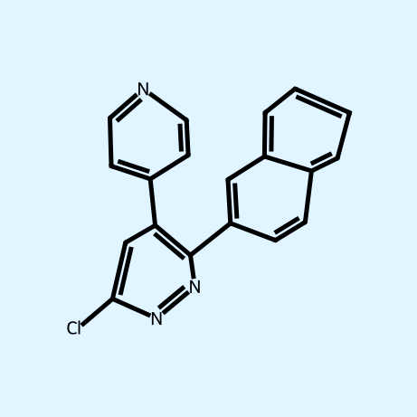 Clc1cc(-c2ccncc2)c(-c2ccc3ccccc3c2)nn1